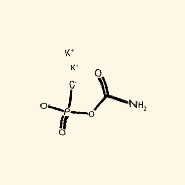 NC(=O)OP(=O)([O-])[O-].[K+].[K+]